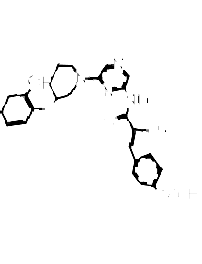 C/C(=C\c1ccc(C(=O)O)cc1)C(=O)Nc1cncc(N2CCCC(OC3=C(O)CCC=C3)C2)n1